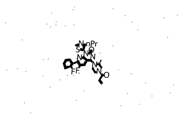 C=CC(=O)N1CCN(c2nc(=O)n(-c3scnc3CCC)c3nc(-c4ccccc4F)c(F)cc23)[C@@H](C)C1